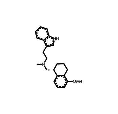 COc1cccc2c1CCC[C@H]2CN(C)CCc1c[nH]c2ccccc12